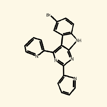 Brc1ccc2[nH]c3nc(-c4ccccn4)nc(-c4ccccn4)c3c2c1